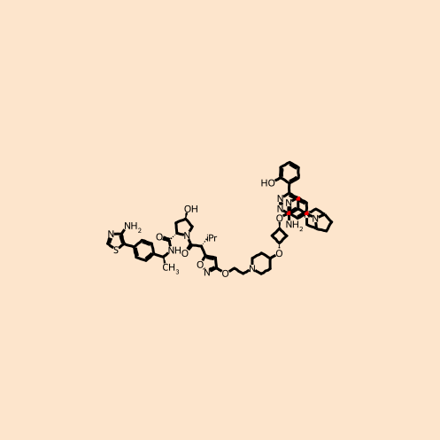 CC(C)[C@@H](C(=O)N1C[C@H](O)C[C@H]1C(=O)N[C@@H](C)c1ccc(-c2scnc2N)cc1)c1cc(OCCN2CCC(O[C@H]3C[C@H](Oc4cc(N5C6CCC5CN(c5cc(-c7ccccc7O)nnc5N)C6)ccn4)C3)CC2)no1